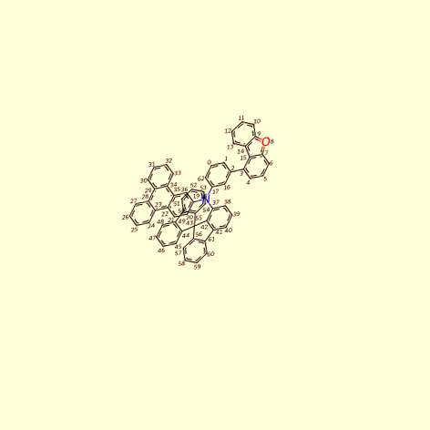 c1cc(-c2cccc3oc4ccccc4c23)cc(N(c2ccc3c4ccccc4c4ccccc4c3c2)c2cccc3c2C2(c4ccccc4-c4ccccc42)c2ccccc2-3)c1